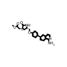 COC(=O)C[C@@H]1C[C@@H](COc2ccc(-c3ccc4c(N)nccc4c3)cc2)NC1=O